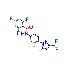 Cc1cc(C(F)F)nn1-c1ccc(NC(=O)c2c(F)cc(F)cc2F)cc1F